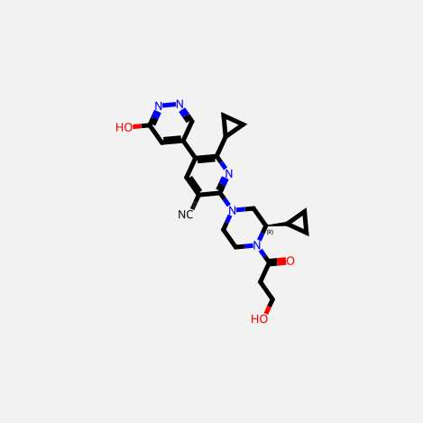 N#Cc1cc(-c2cnnc(O)c2)c(C2CC2)nc1N1CCN(C(=O)CCO)[C@H](C2CC2)C1